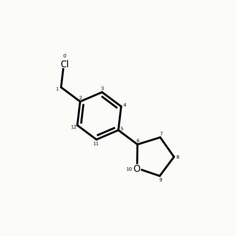 ClCc1ccc(C2CCCO2)cc1